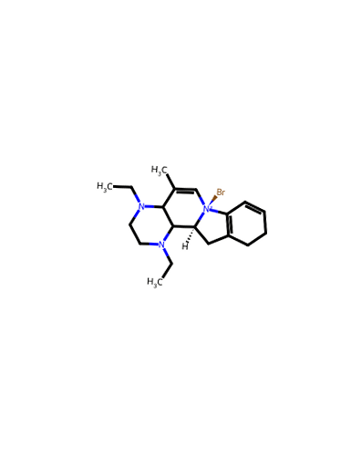 CCN1CCN(CC)C2C1C(C)=C[N@+]1(Br)C3=C(CCC=C3)C[C@@H]21